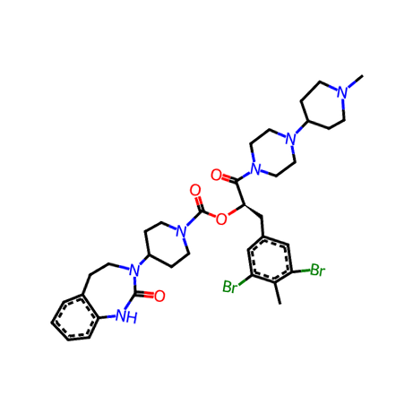 Cc1c(Br)cc(C[C@@H](OC(=O)N2CCC(N3CCc4ccccc4NC3=O)CC2)C(=O)N2CCN(C3CCN(C)CC3)CC2)cc1Br